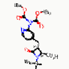 CC(C)(C)OC(=O)N(C(=O)OC(C)(C)C)c1cc(C[C@H]2C(=O)N([Si](C)(C)C(C)(C)C)[C@@H]2C(=O)O)ccn1